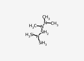 CN(C)N(C)[SiH2]N([SiH3])[SiH3]